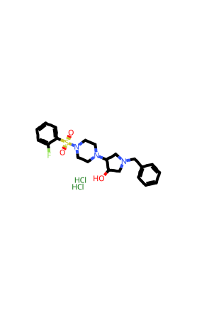 Cl.Cl.O=S(=O)(c1ccccc1F)N1CCN(C2CN(Cc3ccccc3)CC2O)CC1